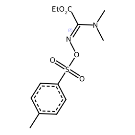 CCOC(=O)/C(=N/OS(=O)(=O)c1ccc(C)cc1)N(C)C